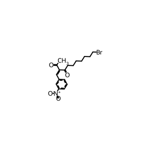 CC(=O)C(=Cc1cccc([N+](=O)[O-])c1)C(=O)CCCCCCCBr